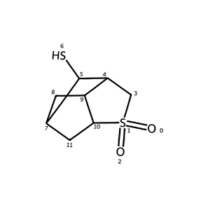 O=S1(=O)CC2C(S)C3CC2C1C3